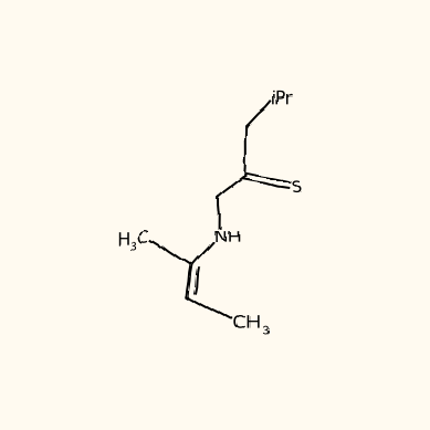 C/C=C(/C)NCC(=S)CC(C)C